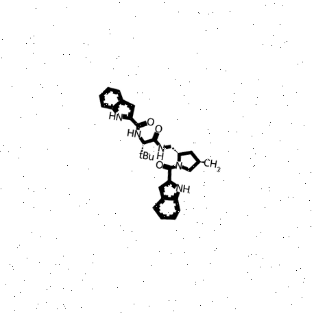 C[C@H]1C[C@@H](CNC(=O)[C@@H](NC(=O)c2cc3ccccc3[nH]2)C(C)(C)C)N(C(=O)c2cc3ccccc3[nH]2)C1